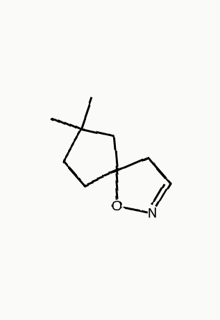 CC1(C)CCC2(CC=NO2)C1